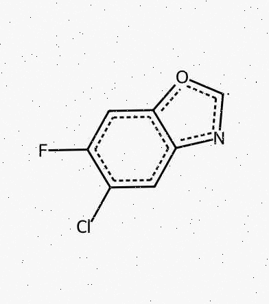 Fc1cc2o[c]nc2cc1Cl